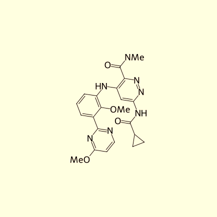 CNC(=O)c1nnc(NC(=O)C2CC2)cc1Nc1cccc(-c2nccc(OC)n2)c1OC